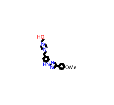 COc1ccc(-c2cnc(Nc3ccc(CCN4CCN(CCO)CC4)cc3)nc2)cc1